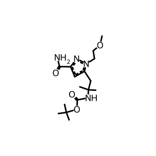 COCCn1nc(C(N)=O)cc1CC(C)(C)NC(=O)OC(C)(C)C